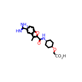 Cc1c(C(=O)N[C@H]2CC[C@H](OCC(=O)O)CC2)oc2ccc(C(=N)N)cc12